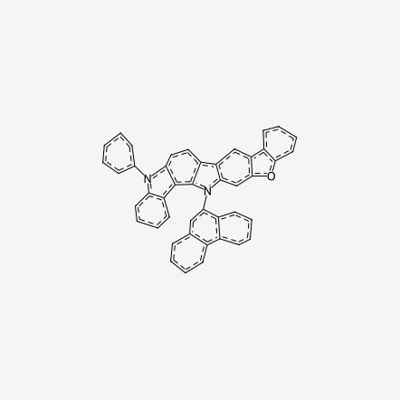 c1ccc(-n2c3ccccc3c3c2ccc2c4cc5c(cc4n(-c4cc6ccccc6c6ccccc46)c23)oc2ccccc25)cc1